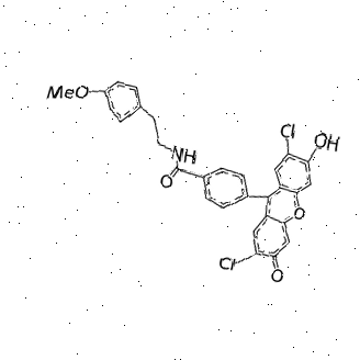 COc1ccc(CCNC(=O)c2ccc(-c3c4cc(Cl)c(=O)cc-4oc4cc(O)c(Cl)cc34)cc2)cc1